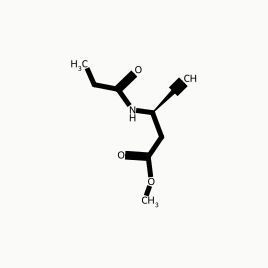 C#C[C@@H](CC(=O)OC)NC(=O)CC